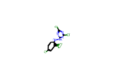 Clc1ccc(NNc2nc(Cl)nc(Cl)n2)c(Cl)c1